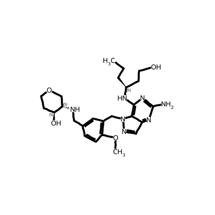 CCC[C@@H](CCO)Nc1nc(N)nc2cnn(Cc3cc(CN[C@H]4COCC[C@@H]4O)ccc3OC)c12